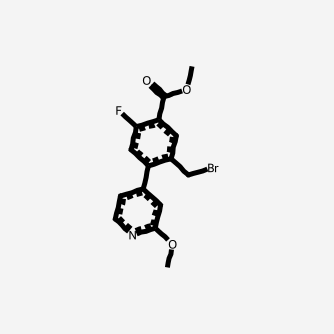 COC(=O)c1cc(CBr)c(-c2ccnc(OC)c2)cc1F